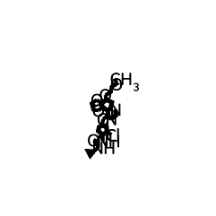 COCCOc1cc2ncnc(Oc3ccc(NC(=O)NC4CC4)c(Cl)c3)c2c2c1OCCO2